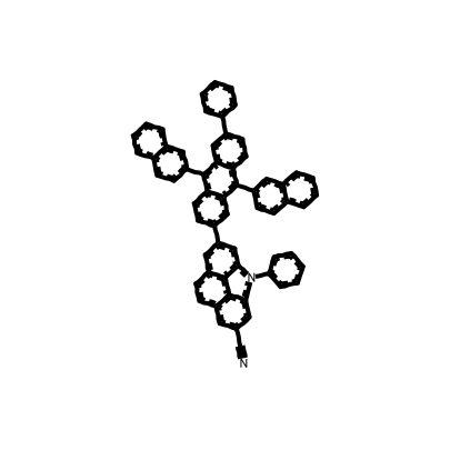 N#Cc1cc2ccc3cc(-c4ccc5c(-c6ccc7ccccc7c6)c6cc(-c7ccccc7)ccc6c(-c6ccc7ccccc7c6)c5c4)cc4c3c2c(c1)n4-c1ccccc1